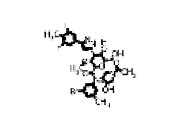 CO[C@@H]1[C@@H](n2cc(-c3cc(F)c(C)c(F)c3)nn2)[C@@H](O)[C@@H](CO)O[C@H]1C(=O)N(c1cc(C)cc(Br)c1)[C@@H]1CN(C(C)=O)C[C@H]1O